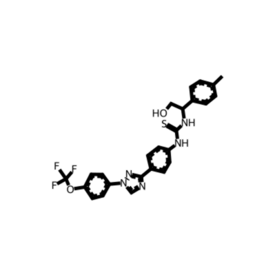 Cc1ccc(C(CO)NC(=S)Nc2ccc(-c3ncn(-c4ccc(OC(F)(F)F)cc4)n3)cc2)cc1